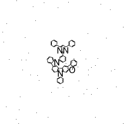 c1ccc(-c2cc(-c3ccccc3)nc(-c3cccc(-n4c5ccccc5c5ccc6c(c7cc8c(cc7n6-c6ccccc6)oc6ccccc68)c54)c3)n2)cc1